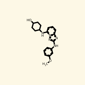 COc1cccc(Nc2nc3cccc(NC4CCC(O)CC4)n3n2)c1